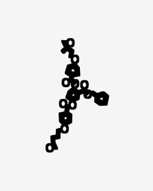 CC1(CCOc2ccc(C(=O)Oc3ccc(OC(=O)c4ccc(OCCCC5CO5)cc4)cc3C(=O)OCc3ccccc3)cc2)CO1